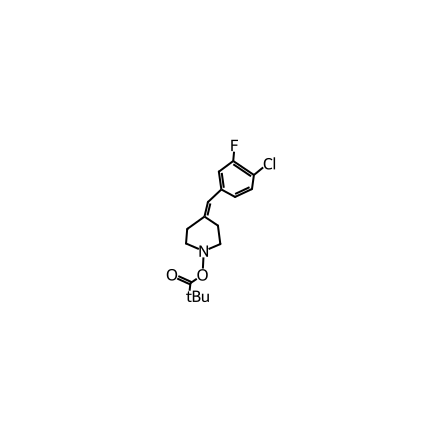 CC(C)(C)C(=O)ON1CCC(=Cc2ccc(Cl)c(F)c2)CC1